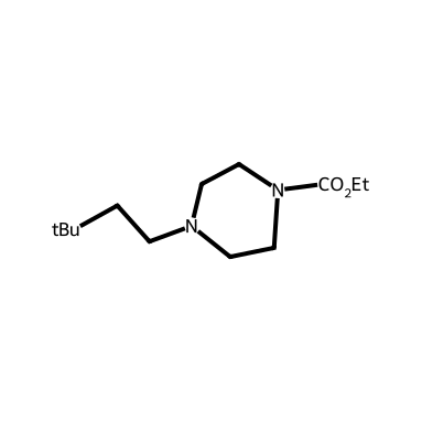 CCOC(=O)N1CCN(CCC(C)(C)C)CC1